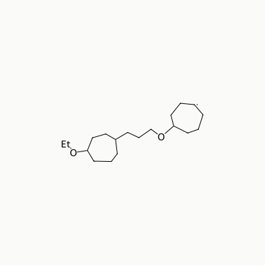 [CH2]COC1CCCC(CCCOC2CC[CH]CCC2)CC1